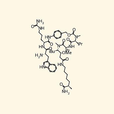 CC[C@H](C)[C@@H]([C@@H](CC(=O)NCCCCC[C@@H](C)C(N)=O)OC)N(C)C(=O)[C@@H](NC(=O)[C@H](C(C)C)N(C)C(=O)OCc1ccc(NC(=O)[C@H](CCCNC(N)=O)NC(=O)[C@@H](N)Cc2c[nH]c3ccccc23)cc1)C(C)C